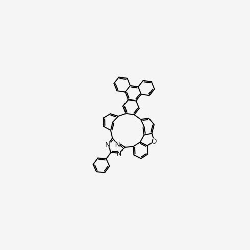 c1ccc(-c2nc3nc(n2)c2cccc4oc5ccc(cc5c42)c2cc4c5ccccc5c5ccccc5c4cc2c2cccc3c2)cc1